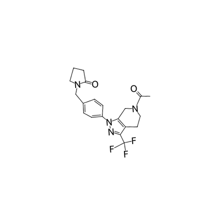 CC(=O)N1CCc2c(C(F)(F)F)nn(-c3ccc(CN4CCCC4=O)cc3)c2C1